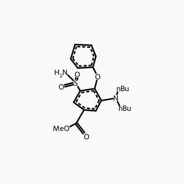 CCCCN(CCCC)c1cc(C(=O)OC)cc(S(N)(=O)=O)c1Oc1ccccc1